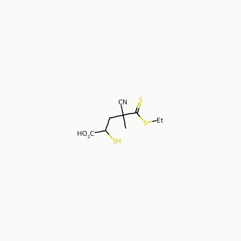 CCSC(=S)C(C)(C#N)CC(S)C(=O)O